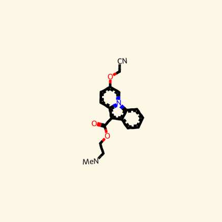 CNCCOC(=O)c1c2ccccc2n2cc(OCC#N)ccc12